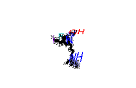 C=C/C(NCCCCc1cc(CCCI)c(F)c(/C=N/O)n1)=C(C)/C=C\C